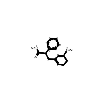 COC(=O)C(CC1=CCCC(OC)=C1)c1ccccc1